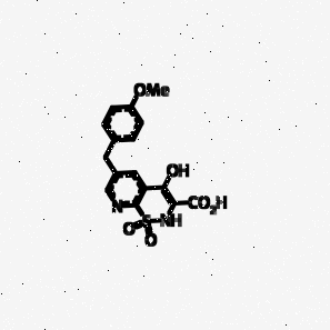 COc1ccc(Cc2cnc3c(c2)C(O)=C(C(=O)O)NS3(=O)=O)cc1